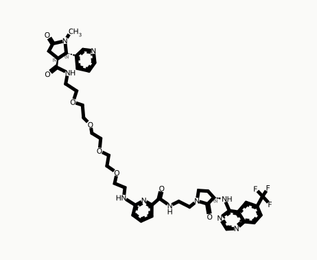 CN1C(=O)C[C@H](C(=O)NCCOCCOCCOCCOCCNc2cccc(C(=O)NCCN3CC[C@H](Nc4ncnc5ccc(C(F)(F)F)cc45)C3=O)n2)[C@H]1c1cccnc1